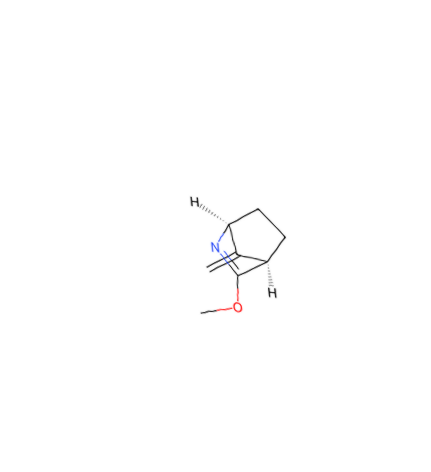 C=C1[C@H]2CC[C@@H]1N=C2OC